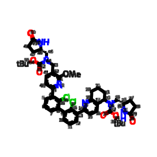 COc1nc(-c2cccc(-c3cccc(-c4ccc5c(n4)CCCC5N(C[C@@H]4CCC(=O)N4)C(=O)OC(C)(C)C)c3Cl)c2Cl)ccc1CN(C[C@@H]1CCC(=O)N1)C(=O)OC(C)(C)C